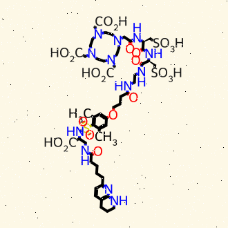 Cc1cc(OCCCC(=O)NCCNC(=O)[C@H](CS(=O)(=O)O)NC(=O)[C@H](CS(=O)(=O)O)NC(=O)CN2CCN(CC(=O)O)CCN(CC(=O)O)CCN(CC(=O)O)CC2)cc(C)c1S(=O)(=O)NC(CNC(=O)CCCCc1ccc2c(n1)NCCC2)C(=O)O